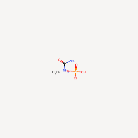 NC(N)=O.O=P(O)(O)O.[CaH2]